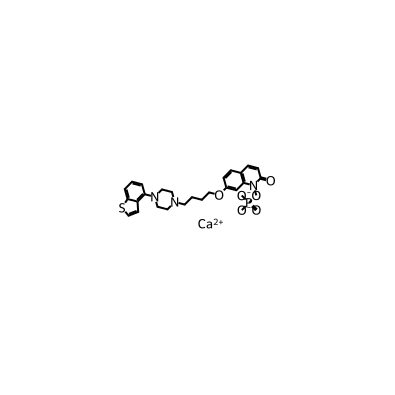 O=c1ccc2ccc(OCCCCN3CCN(c4cccc5sccc45)CC3)cc2n1OP(=O)([O-])[O-].[Ca+2]